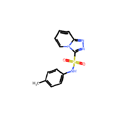 Cc1ccc(NS(=O)(=O)c2nnc3ccccn23)cc1